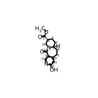 COC(=O)[C@H]1CC[C@@H]2CCc3cc(O)ncc3C(=O)N2C1